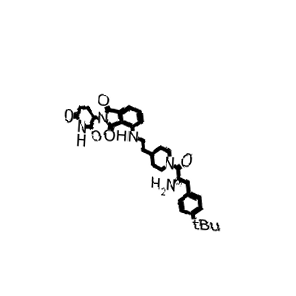 CC(C)(C)c1ccc(C[C@H](N)C(=O)N2CCC(CCNc3cccc4c3C(=O)N(C3CCC(=O)NC3=O)C4=O)CC2)cc1